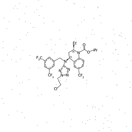 CC[C@@H]1C[C@H](N(Cc2cc(C(F)(F)F)cc(C(F)(F)F)c2)c2nnn(CCCl)n2)c2cc(C(F)(F)F)ccc2N1C(=O)OC(C)C